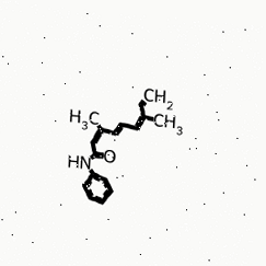 C=CC(C)=CC=CC(C)=CC(=O)Nc1ccccc1